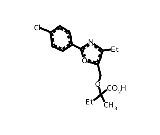 CCc1nc(-c2ccc(Cl)cc2)oc1COC(C)(CC)C(=O)O